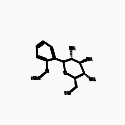 CCCCCCCCOc1ccccc1[C]1O[C@H](CO)[C@@H](O)[C@H](O)[C@H]1O